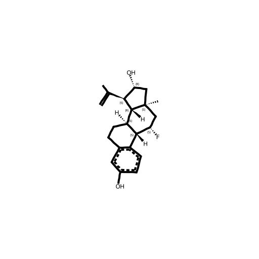 C=C(C)[C@@H]1[C@H]2[C@@H]3CCc4cc(O)ccc4[C@H]3[C@@H](F)C[C@]2(C)C[C@H]1O